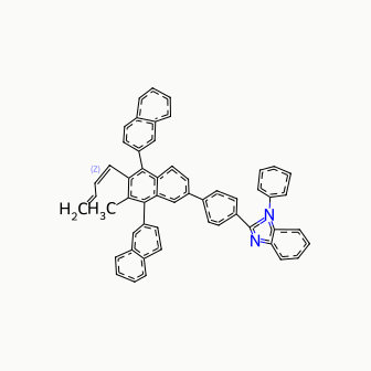 C=C/C=C\c1c(C)c(-c2ccc3ccccc3c2)c2cc(-c3ccc(-c4nc5ccccc5n4-c4ccccc4)cc3)ccc2c1-c1ccc2ccccc2c1